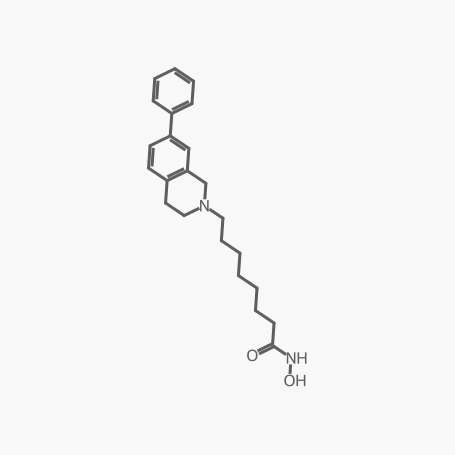 O=C(CCCCCCCN1CCc2ccc(-c3ccccc3)cc2C1)NO